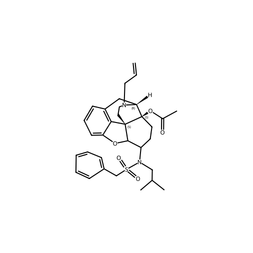 C=CCN1CC[C@]23c4c5cccc4OC2C(N(CC(C)C)S(=O)(=O)Cc2ccccc2)CC[C@@]3(OC(C)=O)[C@H]1C5